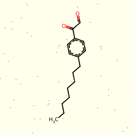 CCCCCCCCc1ccc(C(=O)C=O)cc1